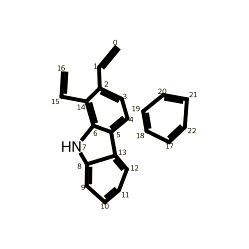 C=Cc1ccc2c([nH]c3ccccc32)c1C=C.c1ccccc1